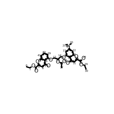 CCOC(=O)c1cc(=O)c2c(OCC(COc3cc(N(C)C)cc4oc(C(=O)OCC)cc(=O)c34)OC(C)=O)cccc2o1